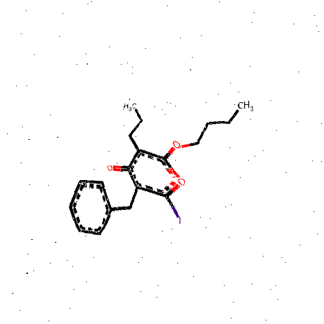 CCCCOc1oc(I)c(Cc2ccccc2)c(=O)c1CCC